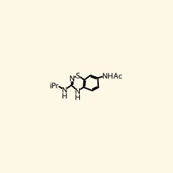 CC(=O)Nc1ccc2c(c1)SN=C(NC(C)C)N2